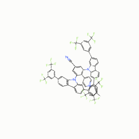 Cc1cc(-c2ccc3c4ccc(-c5cc(C(F)(F)F)cc(C(F)(F)F)c5)cc4n(-c4cc(C#N)cc(-n5c6cc(-c7cc(C(F)(F)F)cc(C(F)(F)F)c7)ccc6c6ccc(-c7cc(C(F)(F)F)cc(C(F)(F)F)c7)cc65)c4-c4ccncc4)c3c2)cc(C(F)(F)F)c1